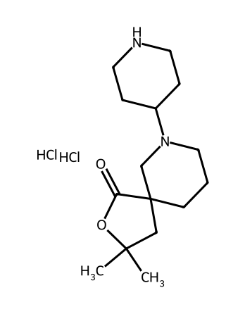 CC1(C)CC2(CCCN(C3CCNCC3)C2)C(=O)O1.Cl.Cl